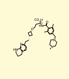 Cc1cc(CN2CCN(C)CC2)cc(C)c1C(=O)N[C@@H](CCO[C@H]1C[C@@H](CCc2ccc3c(n2)NCCC3)C1)C(=O)O